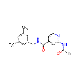 CC(C)C(=O)Nc1cc(C(=O)NCc2cc(C(F)(F)F)cc(C(F)(F)F)c2)ccn1